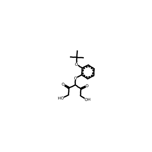 CC(C)(C)Oc1ccccc1OC(C(=O)CO)C(=O)CO